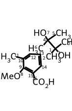 CC(C)(O)C(C)(C)O.COc1c(C)cccc1C(=O)O